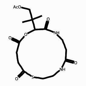 CC(=O)OCC(C)(C)C1OC(=O)CCC(=O)SCCNC(=O)CCNC1=O